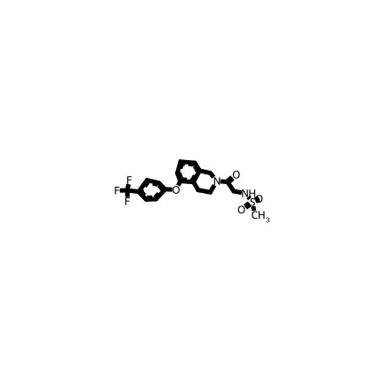 CS(=O)(=O)NCC(=O)N1CCc2c(cccc2Oc2ccc(C(F)(F)F)cc2)C1